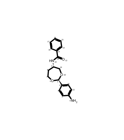 Nc1ccc([C@H]2OCC[C@H](NC(=O)c3ccccc3)CO2)cc1